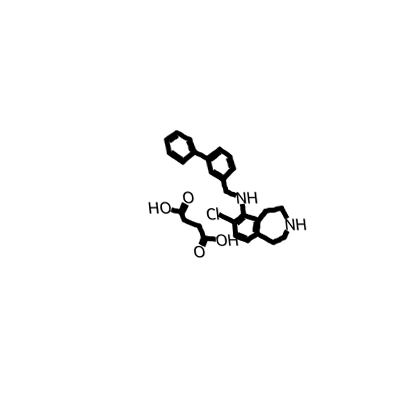 Clc1ccc2c(c1NCc1cccc(-c3ccccc3)c1)CCNCC2.O=C(O)CCC(=O)O